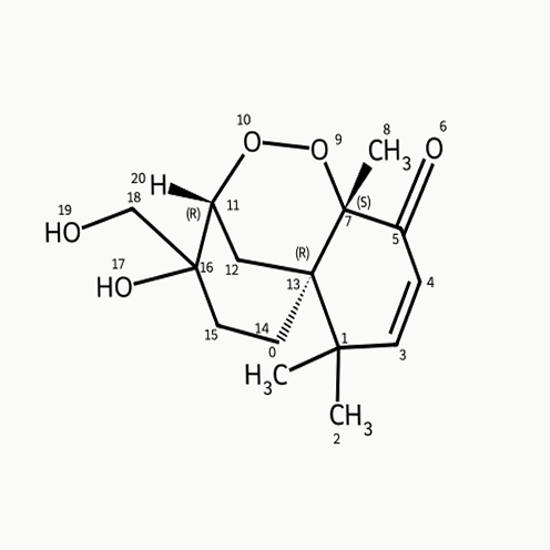 CC1(C)C=CC(=O)[C@@]2(C)OO[C@@H]3C[C@]12CCC3(O)CO